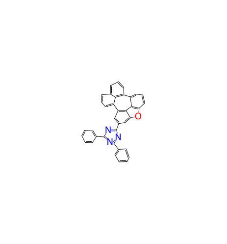 c1ccc(-c2nc(-c3ccccc3)nc(-c3cc4c5c(c3)oc3cccc(c35)-c3cccc5cccc-4c35)n2)cc1